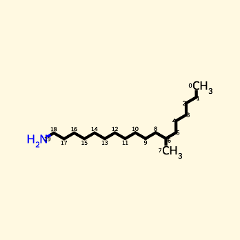 CCCCCCC(C)CCCCCCCCCCCN